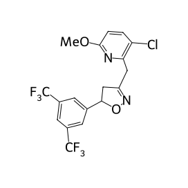 COc1ccc(Cl)c(CC2=NOC(c3cc(C(F)(F)F)cc(C(F)(F)F)c3)C2)n1